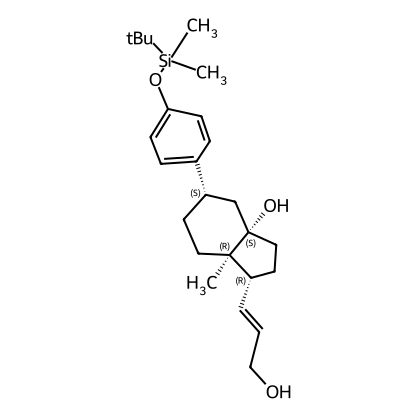 CC(C)(C)[Si](C)(C)Oc1ccc([C@H]2CC[C@]3(C)[C@@H](C=CCO)CC[C@]3(O)C2)cc1